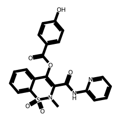 CN1C(C(=O)Nc2ccccn2)=C(OC(=O)c2ccc(O)cc2)c2ccccc2S1(=O)=O